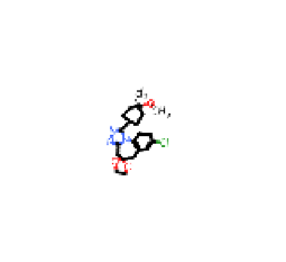 COC1(C)CCC(c2nnc3n2-c2ccc(Cl)cc2CC2(C3)OCCO2)CC1